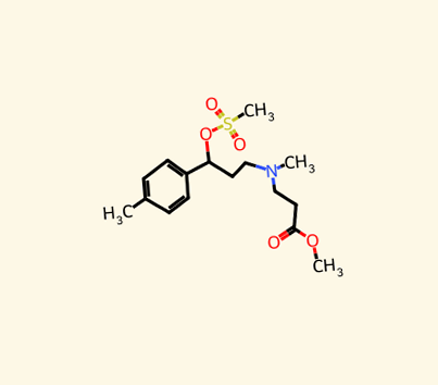 COC(=O)CCN(C)CCC(OS(C)(=O)=O)c1ccc(C)cc1